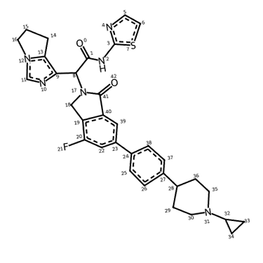 O=C(Nc1nccs1)C(c1ncn2c1CCC2)N1Cc2c(F)cc(-c3ccc(C4CCN(C5CC5)CC4)cc3)cc2C1=O